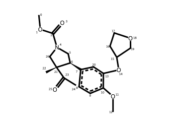 COC(=O)N1C[C@@H](c2ccc(OC)c(OC3CCOC3)c2)[C@](C)(C(C)=O)C1